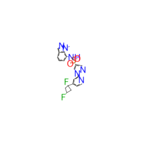 Cn1ncc2cccc(NS(=O)(=O)c3cnn(-c4cc(C5(F)CC(F)C5)ccn4)c3)c21